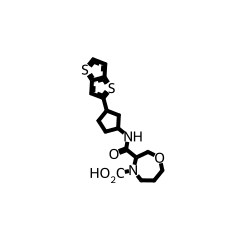 O=C(NC1CCC(c2cc3sccc3s2)C1)C1COCCCN1C(=O)O